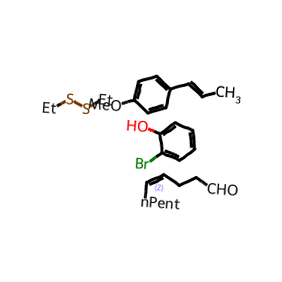 CC=Cc1ccc(OC)cc1.CCCCC/C=C\CCC=O.CCSSCC.Oc1ccccc1Br